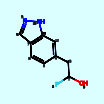 OC(F)[CH]c1ccc2cn[nH]c2c1